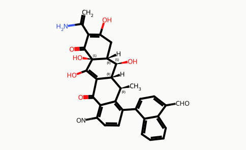 C=C(N)C1=C(O)C[C@@H]2[C@@H](O)[C@H]3C(=C(O)[C@]2(O)C1=O)C(=O)c1c(N=O)ccc(-c2ccc(C=O)c4ccccc24)c1[C@@H]3C